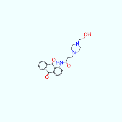 O=C(CCN1CCN(CCO)CC1)Nc1cccc2c1C(=O)c1ccccc1C2=O